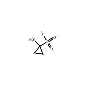 CC1(S(=O)(=O)F)CC1